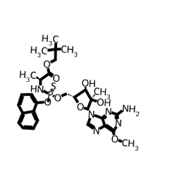 COc1nc(N)nc2c1ncn2[C@@H]1O[C@H](COP(=S)(N[C@@H](C)C(=O)OCC(C)(C)C)Oc2cccc3ccccc23)[C@@H](O)[C@@]1(C)O